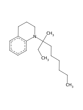 CCCCCCC(C)(CC)N1CCCc2ccccc21